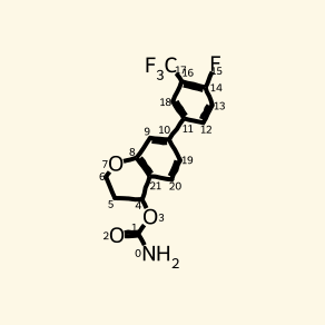 NC(=O)OC1CCOc2cc(-c3ccc(F)c(C(F)(F)F)c3)ccc21